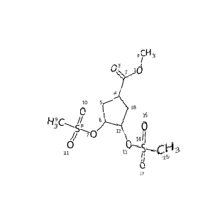 COC(=O)C1CC(OS(C)(=O)=O)C(OS(C)(=O)=O)C1